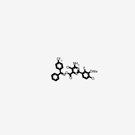 COc1c(Cl)ccc(-c2nc(N)c(Cl)c(C(=O)O/N=C(/c3ccccc3)c3ccc(C(F)(F)F)cc3)n2)c1F